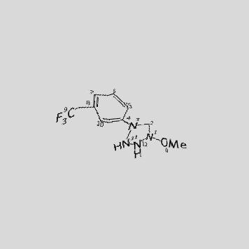 CON1CN(c2[c]ccc(C(F)(F)F)c2)NN1